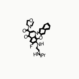 CC(C)NCCNc1c(F)cc2c(=O)c(C(=O)N3CCOCC3)cn3c2c1Oc1cc2ccccc2cc1-3